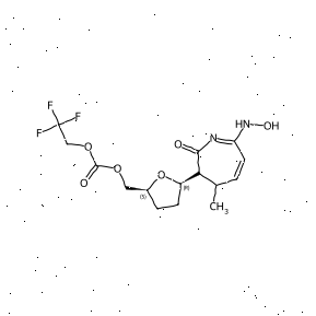 CC1C=CC(NO)=NC(=O)C1[C@H]1CC[C@@H](COC(=O)OCC(F)(F)F)O1